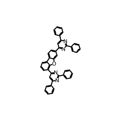 c1ccc(-c2cc(-c3ccc4c(c3)oc3c(-c5cc(-c6ccccc6)nc(-c6ccccc6)n5)cccc34)nc(-c3ccccc3)n2)cc1